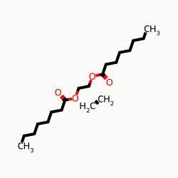 C=C.CCCCCCCC(=O)OCCOC(=O)CCCCCCC